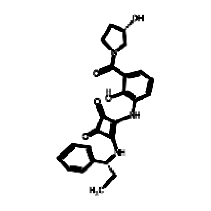 CC[C@@H](Nc1c(Nc2cccc(C(=O)N3CC[C@H](O)C3)c2O)c(=O)c1=O)c1ccccc1